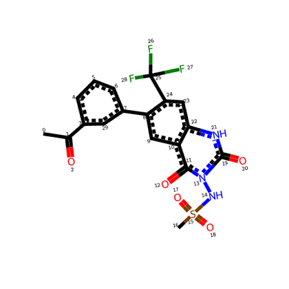 CC(=O)c1cccc(-c2cc3c(=O)n(NS(C)(=O)=O)c(=O)[nH]c3cc2C(F)(F)F)c1